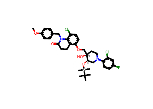 COc1ccc(CN2C(=O)CCc3c(OC[C@]4(O)CCN(c5ccc(F)cc5Cl)C[C@H]4O[Si](C)(C)C(C)(C)C)ccc(Cl)c32)cc1